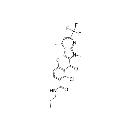 CCCNC(=O)c1ccc(Cl)c(C(=O)c2cc3c(C)cc(C(F)(F)F)nc3n2C)c1Cl